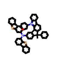 CC1(c2ccccc2)c2ccc(N(c3ccc4c(c3)sc3ccccc34)c3cccc4c3sc3ccccc34)cc2-c2c1ccc1c3ccccc3n(-c3ccccc3)c21